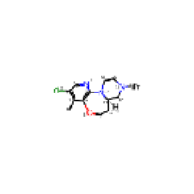 Cc1c(Cl)cnc2c1OCC[C@@H]1CN(C(C)C)CCN21